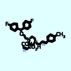 Cc1ccc(/C=C/CN2CCN(CCOC(c3ccc(F)cc3)c3ccc(F)cc3)CC2)cc1.O=C(O)/C=C\C(=O)O